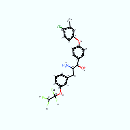 CCc1cc(Oc2ccc(C(O)C(N)Cc3cccc(OC(F)(F)C(F)F)c3)cc2)ccc1Cl